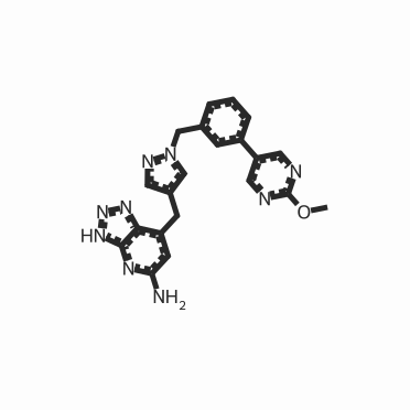 COc1ncc(-c2cccc(Cn3cc(Cc4cc(N)nc5[nH]nnc45)cn3)c2)cn1